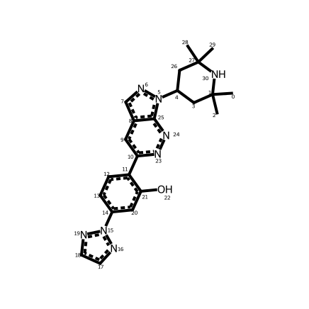 CC1(C)CC(n2ncc3cc(-c4ccc(-n5nccn5)cc4O)nnc32)CC(C)(C)N1